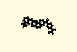 CC(=O)Nc1ccc(C(=O)N2CCc3c(ccc(Cl)c3NC(=O)Cc3cccc(C(F)(F)F)c3F)C2)cc1